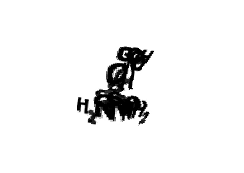 CC(C)(C)OC(=O)N[C@H](CCOc1ccc(-c2cc(C(N)=O)c(NC(N)=O)s2)c(C2CCCC2)c1)C(=O)O